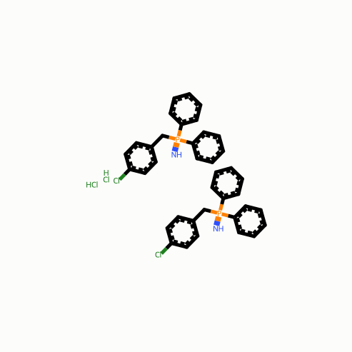 Cl.Cl.N=P(Cc1ccc(Cl)cc1)(c1ccccc1)c1ccccc1.N=P(Cc1ccc(Cl)cc1)(c1ccccc1)c1ccccc1